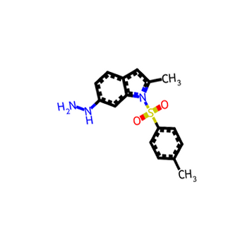 Cc1ccc(S(=O)(=O)n2c(C)cc3ccc(NN)cc32)cc1